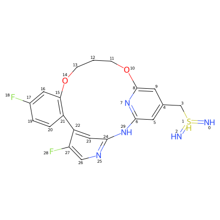 N=[SH](=N)Cc1cc2nc(c1)OCCCOc1cc(F)ccc1-c1cc(ncc1F)N2